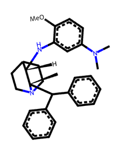 COc1ccc(N(C)C)cc1N[C@H]1C2CCN(CC2)[C@@]1(C)C(c1ccccc1)c1ccccc1